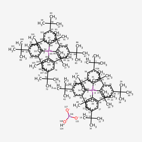 CC(C)(C)c1ccc([P+](c2ccc(C(C)(C)C)cc2C(C)(C)C)(c2ccc(C(C)(C)C)cc2C(C)(C)C)c2ccc(C(C)(C)C)cc2C(C)(C)C)c(C(C)(C)C)c1.CC(C)(C)c1ccc([P+](c2ccc(C(C)(C)C)cc2C(C)(C)C)(c2ccc(C(C)(C)C)cc2C(C)(C)C)c2ccc(C(C)(C)C)cc2C(C)(C)C)c(C(C)(C)C)c1.[H+].[O-]P([O-])[O-]